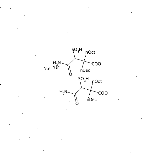 CCCCCCCCCCC(CCCCCCCC)(C(=O)[O-])C(C(N)=O)S(=O)(=O)O.CCCCCCCCCCC(CCCCCCCC)(C(=O)[O-])C(C(N)=O)S(=O)(=O)O.[Na+].[Na+]